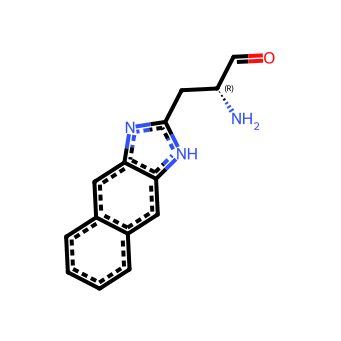 N[C@@H](C=O)Cc1nc2cc3ccccc3cc2[nH]1